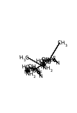 CCCCCCCCCCCCCCCCCCC[C@H](COP(=O)(O)OC[C@H]1O[C@@](C#N)(c2ccc3c(N)nc(C(CCCCCCCCCCCCCC)CCCC[C@H](COP(=O)(O)OC[C@H]4O[C@@](C#N)(c5ccc6c(N)ncnn56)[C@H](O)[C@@H]4O)OCc4ccc(C#N)c(F)c4)nn23)[C@H](O)[C@@H]1O)OCc1ccc(C#N)cc1F